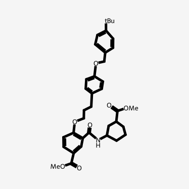 COC(=O)c1ccc(OCCCc2ccc(OCc3ccc(C(C)(C)C)cc3)cc2)c(C(=O)NC2CCCC(C(=O)OC)C2)c1